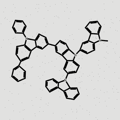 Cn1c2ccccc2c2cc(-n3c4ccc(-c5ccc6c(c5)c5cc(-c7ccccc7)ccc5n6-c5ccccc5)cc4c4cc(-n5c6ccccc6c6ccccc65)ccc43)ccc21